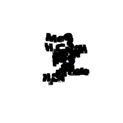 COCCCN(C(/C=C/c1ccc(-n2cnc(C)c2)c(OC)c1)=NO)C(C)c1ccc(F)cc1